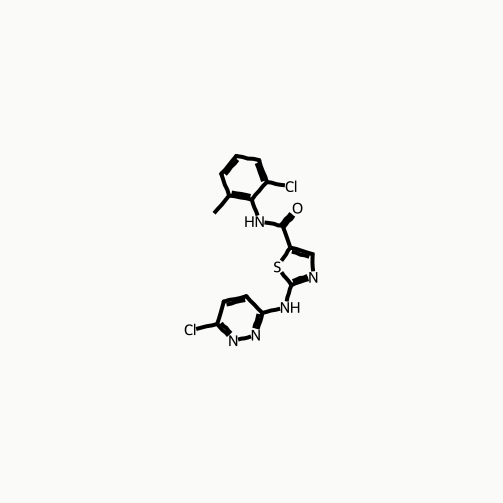 Cc1cccc(Cl)c1NC(=O)c1cnc(Nc2ccc(Cl)nn2)s1